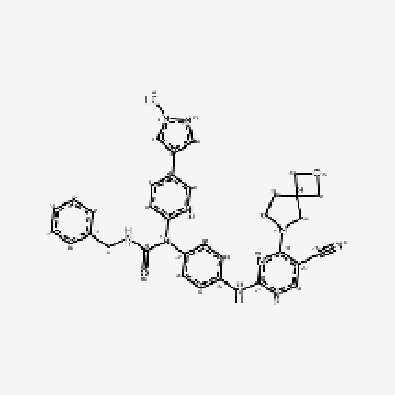 Cn1cc(-c2ccc(N(C(=O)NCc3ccccc3)c3ccc(Nc4ncc(C#N)c(N5CCC6(COC6)C5)n4)cc3)nc2)cn1